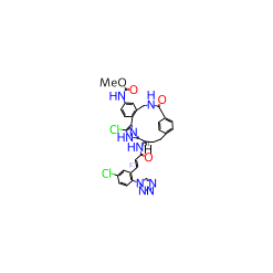 COC(=O)Nc1ccc2c(c1)CNC(=O)c1ccc(cc1)CC[C@H](NC(=O)/C=C/c1cc(Cl)ccc1-n1cnnn1)c1nc-2c(Cl)[nH]1